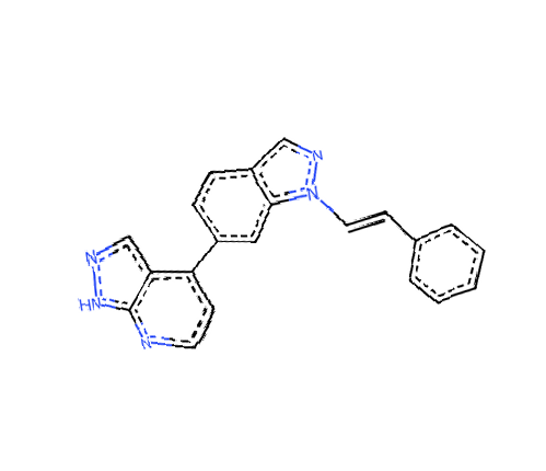 C(=Cn1ncc2ccc(-c3ccnc4[nH]ncc34)cc21)c1ccccc1